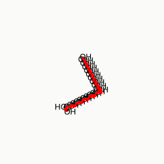 CC(=O)O.CC(=O)O.CC(=O)O.CC(=O)O.CC(=O)O.CC(=O)O.CC(=O)O.CC(=O)O.CC(=O)O.CC(=O)O.CC(=O)O.CC(=O)O.CC(=O)O.CC(=O)O.CC(=O)O.CC(=O)O.CC(=O)O.CC(=O)O.CC(=O)O.O=C(O)CCO